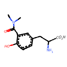 CN(C)C(=O)c1cc(CC(N)C(=O)O)ccc1O